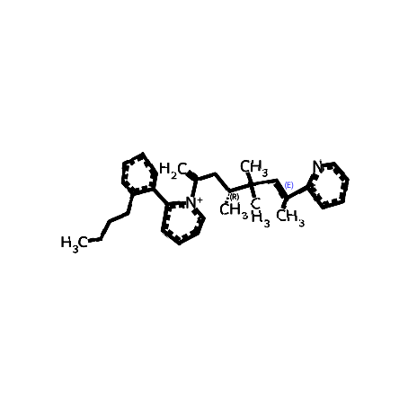 C=C(C[C@@H](C)C(C)(C)/C=C(\C)c1ccccn1)[n+]1ccccc1-c1ccccc1CCCC